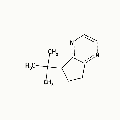 CC(C)(C)C1CCc2nccnc21